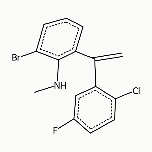 C=C(c1cc(F)ccc1Cl)c1cccc(Br)c1NC